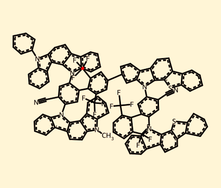 Cn1c2ccccc2c2c1ccc1c3ccccc3n(-c3cc(-c4c(C(F)(F)F)cc(-c5ccc6c7ccc8c9ccccc9sc8c7n(-c7cc(-c8c(C(F)(F)F)cccc8C(F)(F)F)c(-n8c9ccccc9c9ccc%10c%11ccccc%11sc%10c98)cc7C#N)c6c5)cc4C(F)(F)F)c(-n4c5ccccc5c5ccc6c(c7ccccc7n6-c6ccccc6)c54)cc3C#N)c12